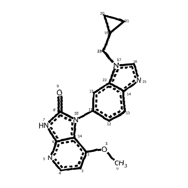 COc1ccnc2[nH]c(=O)n(-c3ccc4ncn(CC5CC5)c4c3)c12